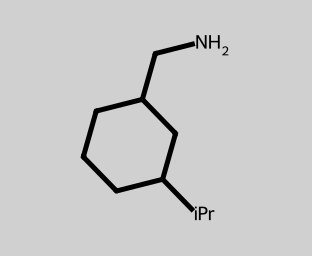 CC(C)C1CCCC(CN)C1